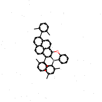 Cc1cc(C)c(B2c3ccccc3Oc3c2c(-c2c(C)cccc2C)c2ccc4ccc(-c5c(C)cccc5C)c5ccc3c2c45)c(C)c1